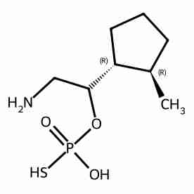 C[C@@H]1CCC[C@H]1C(CN)OP(=O)(O)S